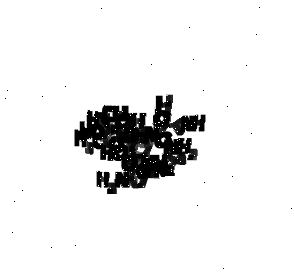 CN[C@@H]1[C@@H](O)[C@@H](O[C@@H]2[C@@H](O)[C@H](O[C@H]3OC(CNCC4(CN)CC4)=CC[C@H]3N)[C@@H](N)C[C@H]2NC(=O)C(O)C2CNC2)OC[C@]1(C)O